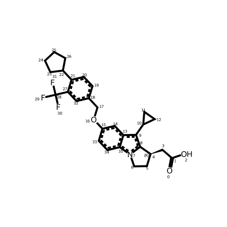 O=C(O)C[C@H]1CCn2c1c(C1CC1)c1cc(OCc3ccc(C4CCCC4)c(C(F)(F)F)c3)ccc12